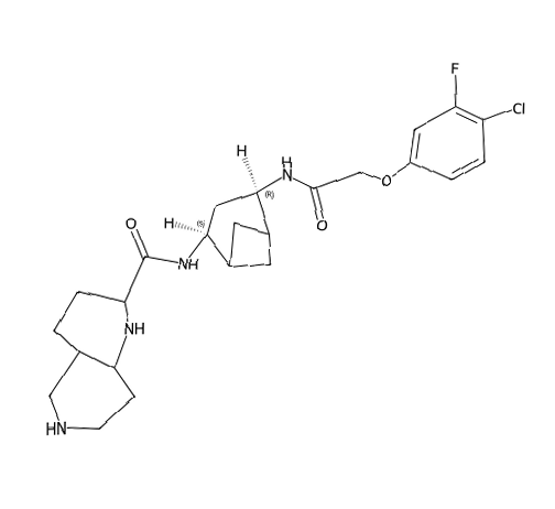 O=C(COc1ccc(Cl)c(F)c1)N[C@@H]1C[C@H](NC(=O)C2CCC3CNCCC3N2)C2CC1C2